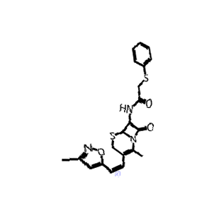 CC1=C(/C=C\c2cc(C)no2)CSC2C(NC(=O)CSc3ccccc3)C(=O)N12